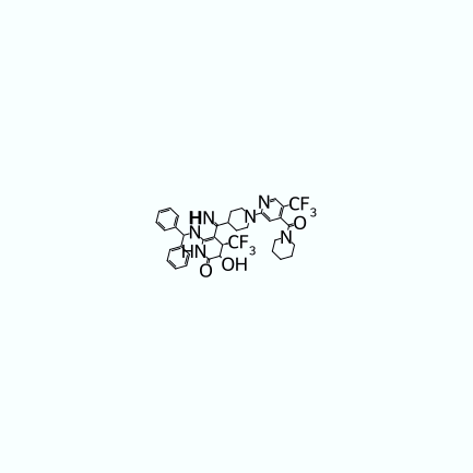 N=C(C1=C(NC(c2ccccc2)c2ccccc2)NC(=O)[C@H](O)[C@@H]1C(F)(F)F)C1CCN(c2cc(C(=O)N3CCCCC3)c(C(F)(F)F)cn2)CC1